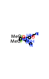 COc1cc(OC)c(F)c(N2Cc3cnc(Nc4ccncc4)nc3N(Cc3cccc(NC(=O)/C=C/CN(C)C)c3)C2=O)c1F